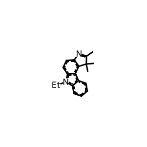 CCn1c2ccccc2c2c3c(ccc21)N=C(C)C3(C)C